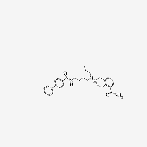 CCCN(CCCCNC(=O)c1ccc(-c2ccccc2)cc1)[C@H]1CCc2c(cccc2C(N)=O)C1